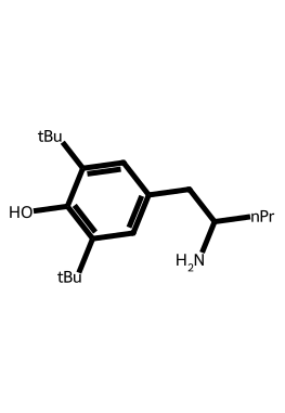 CCCC(N)Cc1cc(C(C)(C)C)c(O)c(C(C)(C)C)c1